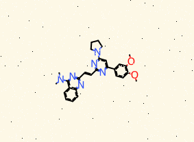 COc1ccc(-c2cc(N3CCCC3)nc(C=Cc3nc(N(C)C)c4ccccc4n3)n2)cc1OC